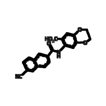 N#Cc1ccc2cc(C(=O)Nc3cc4c(cc3C(=O)O)OCCO4)ccc2c1